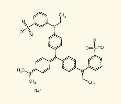 CCN(c1ccc(C(=C2C=CC(=[N+](C)C)C=C2)c2ccc(N(CC)c3cccc(S(=O)(=O)[O-])c3)cc2)cc1)c1cccc(S(=O)(=O)[O-])c1.[Na+]